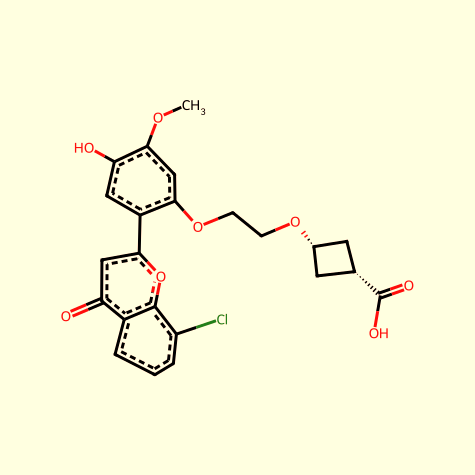 COc1cc(OCCO[C@H]2C[C@@H](C(=O)O)C2)c(-c2cc(=O)c3cccc(Cl)c3o2)cc1O